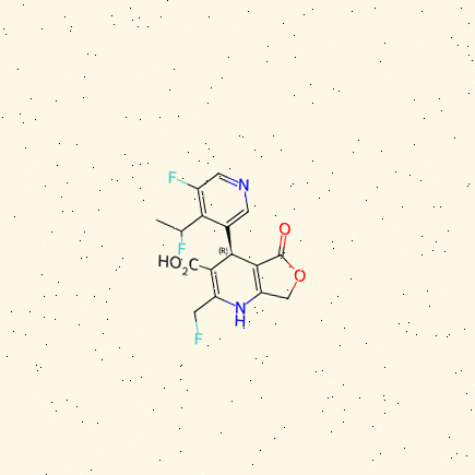 CC(F)c1c(F)cncc1[C@@H]1C(C(=O)O)=C(CF)NC2=C1C(=O)OC2